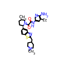 CCc1cc(NC(=O)C(=O)N2C[C@@H](C)CC[C@@H]2c2ccc3sc(CC4CCN(C)CC4)nc3c2)cnc1N